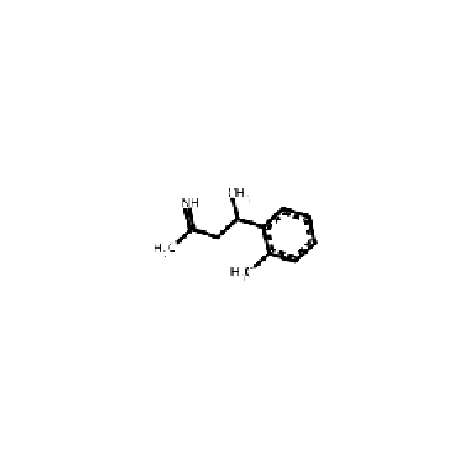 CC(=N)CC(C)c1ccccc1C